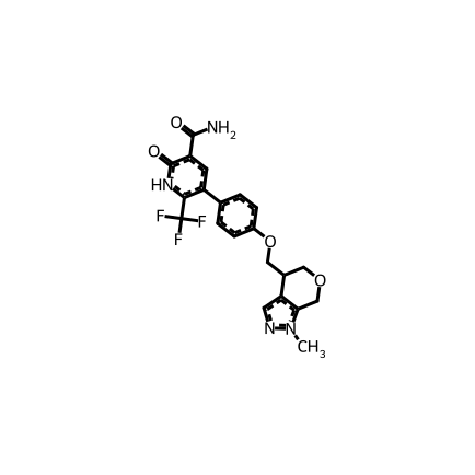 Cn1ncc2c1COCC2COc1ccc(-c2cc(C(N)=O)c(=O)[nH]c2C(F)(F)F)cc1